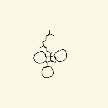 CC(C)=CCC/C(C)=C/COC(C(=O)OC1=CCCCCCCCC1)(C1=CCCCCCCCC1)C1=CCCCCCCCC1